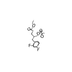 CCOC(=O)CCC(COS(C)(=O)=O)Cc1ccc(F)cc1F